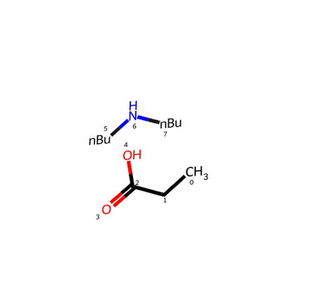 CCC(=O)O.CCCCNCCCC